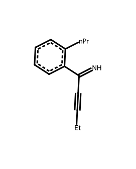 CCC#CC(=N)c1ccccc1CCC